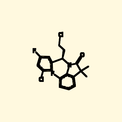 CC1(C)C(=O)N([C@H](CCCl)c2cc(F)cc(Cl)c2)c2c(F)cccc21